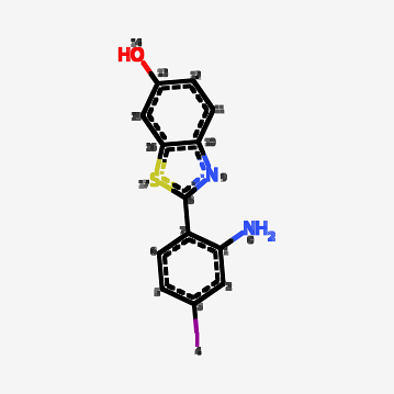 Nc1cc(I)ccc1-c1nc2ccc(O)cc2s1